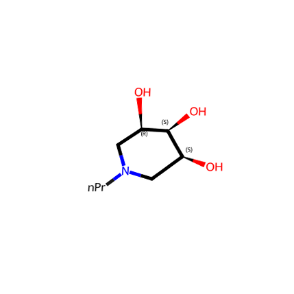 CCCN1C[C@@H](O)[C@@H](O)[C@@H](O)C1